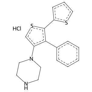 Cl.c1ccc(-c2c(N3CCNCC3)csc2-c2cccs2)cc1